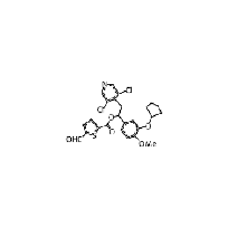 COc1ccc(C(Cc2c(Cl)cncc2Cl)OC(=O)c2ccc(C=O)s2)cc1OC1CCCC1